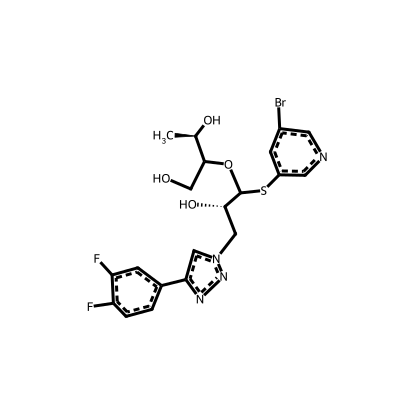 C[C@@H](O)C(CO)OC(Sc1cncc(Br)c1)[C@@H](O)Cn1cc(-c2ccc(F)c(F)c2)nn1